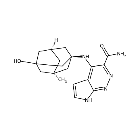 C[C@@]12C[C@H]3CC(O)(C1)C[C@](Nc1c(C(N)=O)nnc4[nH]ccc14)(C3)C2